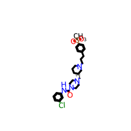 CS(=O)(=O)c1ccc(CCCN2CCC[C@@H](CN3CCN(C(=O)Nc4cccc(Cl)c4)CC3)C2)cc1